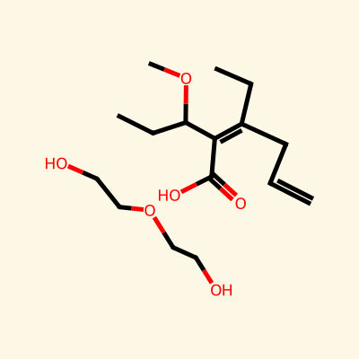 C=CCC(CC)=C(C(=O)O)C(CC)OC.OCCOCCO